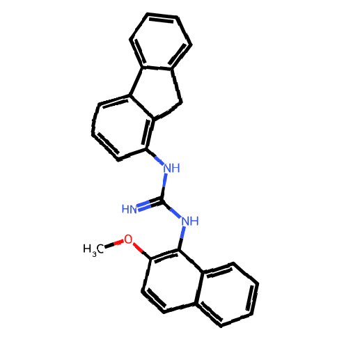 COc1ccc2ccccc2c1NC(=N)Nc1cccc2c1Cc1ccccc1-2